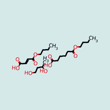 CC(O)CCO.CCCCOC(=O)C=CC(=O)O.CCCCOC(=O)CCCCC(=O)O